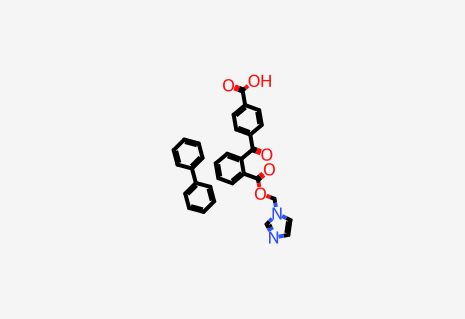 O=C(O)c1ccc(C(=O)c2ccccc2C(=O)OCn2ccnc2)cc1.c1ccc(-c2ccccc2)cc1